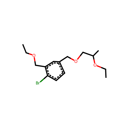 CCOCc1cc(COCC(C)OCC)ccc1Br